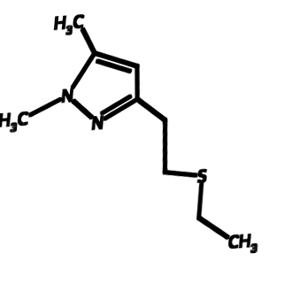 CCSCCc1cc(C)n(C)n1